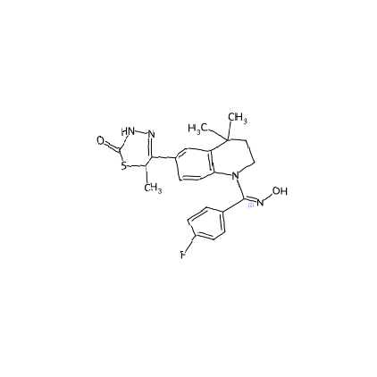 CC1SC(=O)NN=C1c1ccc2c(c1)C(C)(C)CCN2/C(=N\O)c1ccc(F)cc1